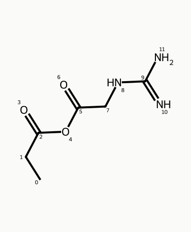 CCC(=O)OC(=O)CNC(=N)N